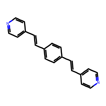 C(=Cc1ccc(C=Cc2ccncc2)cc1)c1ccncc1